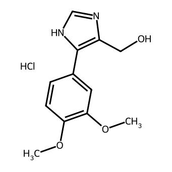 COc1ccc(-c2[nH]cnc2CO)cc1OC.Cl